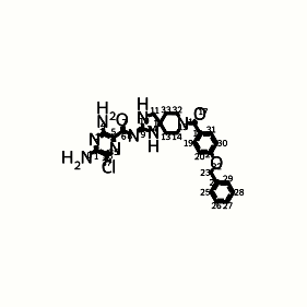 Nc1nc(N)c(C(=O)/N=C2\NCC3(CCN(C(=O)c4ccc(OCc5ccccc5)cc4)CC3)N2)nc1Cl